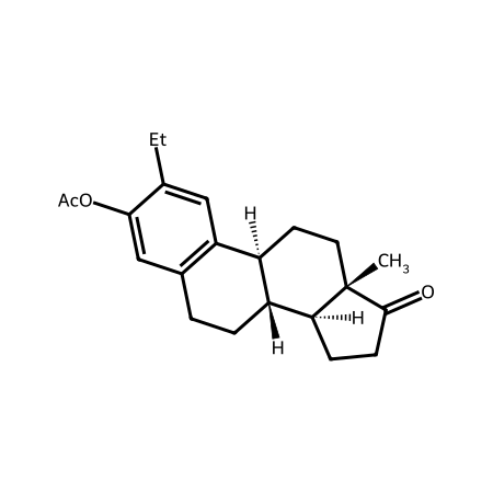 CCc1cc2c(cc1OC(C)=O)CC[C@@H]1[C@@H]2CC[C@]2(C)C(=O)CC[C@@H]12